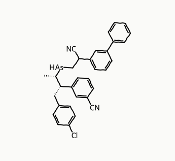 C[C@H]([AsH]CC(C#N)c1cccc(-c2ccccc2)c1)[C@@H](Cc1ccc(Cl)cc1)c1cccc(C#N)c1